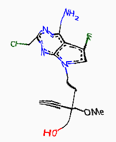 C#CC(CO)(CCn1cc(F)c2c(N)nc(Cl)nc21)OC